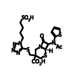 CC(=O)N(c1cccs1)C1C(=O)N2CC(CSc3nnnn3CCCCS(=O)(=O)O)(C(=O)O)CS[C@H]12